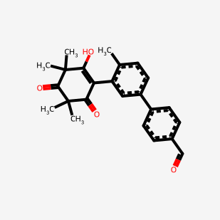 Cc1ccc(-c2ccc(C=O)cc2)cc1C1=C(O)C(C)(C)C(=O)C(C)(C)C1=O